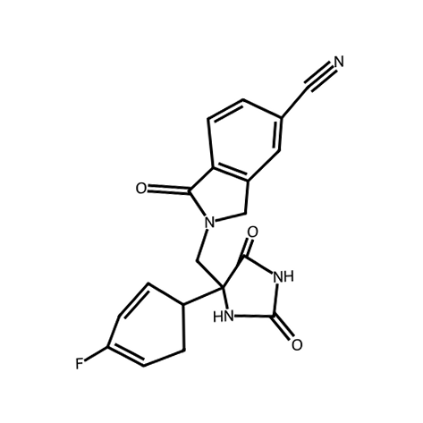 N#Cc1ccc2c(c1)CN(CC1(C3C=CC(F)=CC3)NC(=O)NC1=O)C2=O